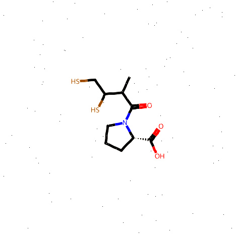 CC(C(=O)N1CCC[C@H]1C(=O)O)C(S)CS